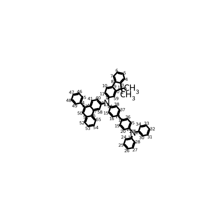 CC1(C)c2ccccc2-c2ccc(N(c3ccc(-c4ccc(N(c5ccccc5)c5ccccc5)cc4)cc3)c3ccc4c(-c5ccccc5)cc5ccccc5c4c3)cc21